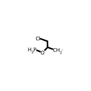 [CH2]C(CCl)OP